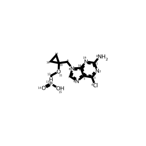 Nc1nc(Cl)c2ncn(CC3(OC[PH](=O)O)CC3)c2n1